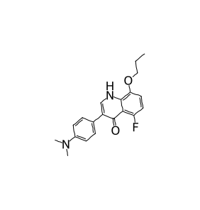 CCCOc1ccc(F)c2c(=O)c(-c3ccc(N(C)C)cc3)c[nH]c12